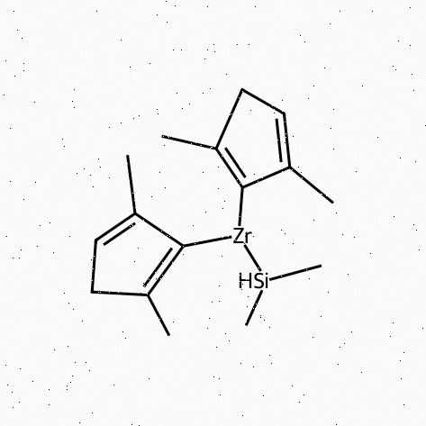 CC1=CCC(C)=[C]1[Zr]([C]1=C(C)CC=C1C)[SiH](C)C